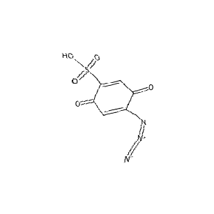 [N-]=[N+]=NC1=CC(=O)C(S(=O)(=O)O)=CC1=O